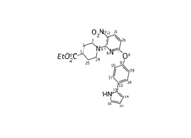 CCOC(=O)C1CCN(c2nc(Oc3ccc(-c4ccc[nH]4)cc3)ccc2[N+](=O)[O-])CC1